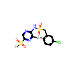 CCS(=O)(=O)c1cnc(NS(=O)(=O)Cc2cccc(Cl)c2)c(OC)n1